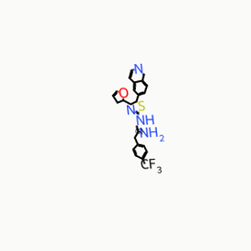 N[C@H](CNC1=NC(C2CC=CO2)C(c2ccc3cnccc3c2)S1)Cc1ccc(C(F)(F)F)cc1